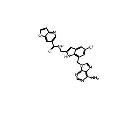 Nc1ncnc2c1ncn2Cc1cc(Cl)cc2cc(CNC(=O)c3cnc4ccoc4c3)[nH]c12